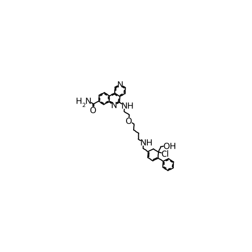 NC(=O)c1ccc2c(c1)nc(NCCOCCCCNCC1=CC=C(c3ccccc3)C(Cl)(CO)C1)c1ccncc12